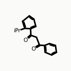 CC(C)c1ccccc1C(=O)CC(=O)c1ccccc1